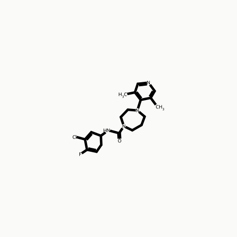 Cc1cncc(C)c1N1CCCN(C(=O)NC2C=C(Cl)C(F)=CC2)CC1